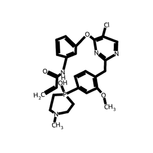 C=CC(=O)Nc1cccc(Oc2nc(Cc3ccc([P]4(O)CCN(C)CC4)cc3OC)ncc2Cl)c1